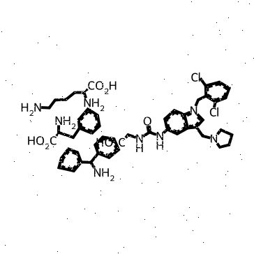 NC(c1ccccc1)c1ccccc1.NCCCC[C@H](N)C(=O)O.N[C@@H](Cc1ccccc1)C(=O)O.O=C(O)CNC(=O)Nc1ccc2c(c1)c(CN1CCCC1)cn2Cc1c(Cl)cccc1Cl